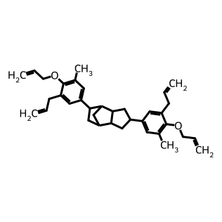 C=CCOc1c(C)cc(C2CC3C4CC(c5cc(C)c(OCC=C)c(CC=C)c5)C(C4)C3C2)cc1CC=C